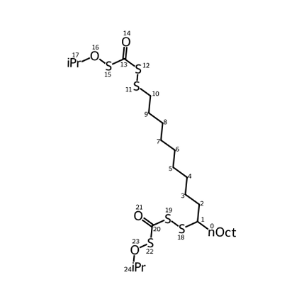 CCCCCCCCC(CCCCCCCCCSSC(=O)SOC(C)C)SSC(=O)SOC(C)C